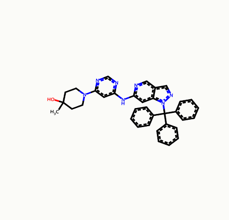 CC1(O)CCN(c2cc(Nc3cc4c(cn3)cnn4C(c3ccccc3)(c3ccccc3)c3ccccc3)ncn2)CC1